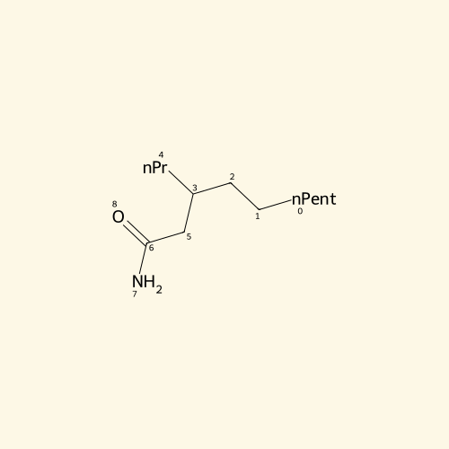 CCCCCCCC(CCC)CC(N)=O